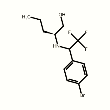 CCC[C@@H](CO)NC(c1ccc(Br)cc1)C(F)(F)F